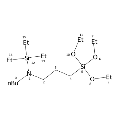 CCCCN(CCC[Si](OCC)(OCC)OCC)[Si](CC)(CC)CC